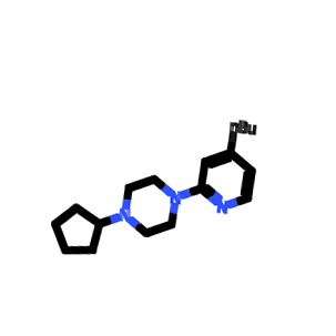 [CH2]CCCc1ccnc(N2CCN(C3CCCC3)CC2)c1